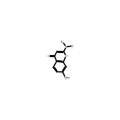 CCN(CC)c1cc(=O)c2ccc(OC)cc2o1